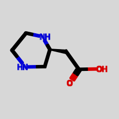 O=C(O)C[C@H]1CNCCN1